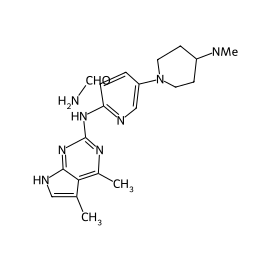 CNC1CCN(c2ccc(Nc3nc(C)c4c(C)c[nH]c4n3)nc2)CC1.NC=O